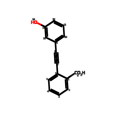 O=C(O)c1ccccc1C#Cc1cccc(O)c1